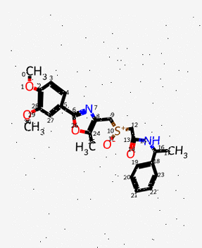 COc1ccc(-c2nc(C[S+]([O-])CC(=O)NC(C)c3ccccc3)c(C)o2)cc1OC